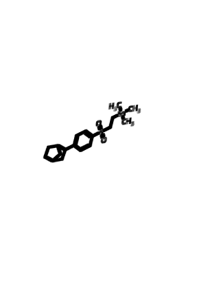 [CH3][Sn]([CH3])([CH3])[CH2]CS(=O)(=O)c1ccc(C2CC3CCC2C3)cc1